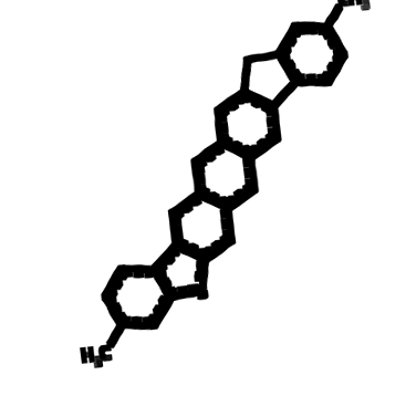 Cc1ccc2c(c1)Cc1cc3cc4cc5c(cc4cc3cc1-2)sc1cc(C)ccc15